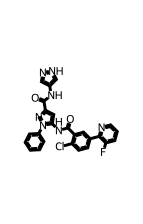 O=C(Nc1cn[nH]c1)c1cc(NC(=O)c2cc(-c3ncccc3F)ccc2Cl)n(-c2ccccc2)n1